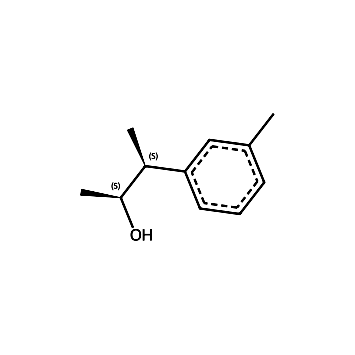 Cc1cccc([C@H](C)[C@H](C)O)c1